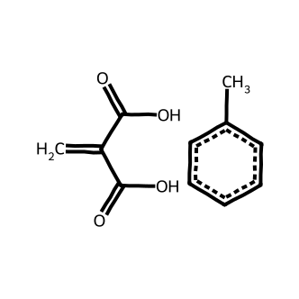 C=C(C(=O)O)C(=O)O.Cc1ccccc1